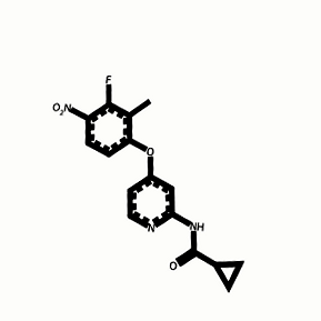 Cc1c(Oc2ccnc(NC(=O)C3CC3)c2)ccc([N+](=O)[O-])c1F